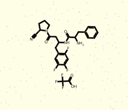 N#CC1CCCN1C(=O)CC(Cc1cc(F)c(F)cc1F)NC(=O)C(N)Cc1ccccc1.O=C(O)C(F)(F)F